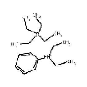 CC[B-](CC)(CC)CC.CC[NH+](CC)c1ccccc1